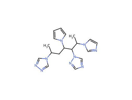 CC(CC(C(C(C)n1ccnc1)n1cncn1)n1cccc1)n1cnnc1